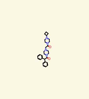 O=C(CN1CCN(C(=O)C(c2ccccc2)c2ccccc2)CC1)N1CCN(C2CCC2)CC1